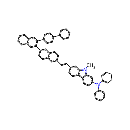 Cn1c2cc(/C=C/c3ccc4cc(-c5cc6ccccc6cc5-c5ccc(-c6ccccc6)cc5)ccc4c3)ccc2c2ccc(N(C3=CCCC=C3)c3ccccc3)cc21